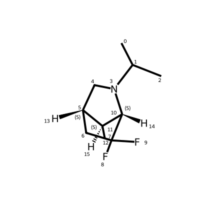 CC(C)N1C[C@H]2CC(F)(F)[C@@H]1[C@H]2C